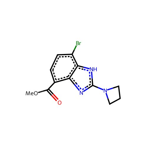 COC(=O)c1ccc(Br)c2[nH]c(N3CCC3)nc12